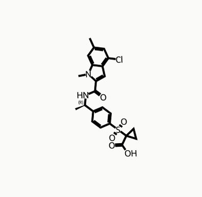 Cc1cc(Cl)c2cc(C(=O)N[C@H](C)c3ccc(S(=O)(=O)C4(C(=O)O)CC4)cc3)n(C)c2c1